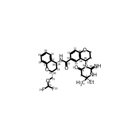 CC[C@]1(C)CC(=O)N([C@@H]2CCOc3ccc(C(=O)N[C@@H]4C[C@H](COC(F)F)Oc5ccccc54)cc32)C(=N)N1